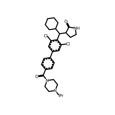 CC(C)N1CCN(C(=O)c2ccc(-c3cc(Cl)c(C(C4CCCCC4)C4CCNC4=O)c(Cl)c3)cc2)CC1